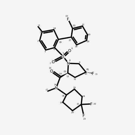 Cc1ccc(S(=O)(=O)N2C[C@H](F)C[C@H]2C(=O)N(C)C2CCC(F)(F)CC2)c(-c2ccccc2F)c1